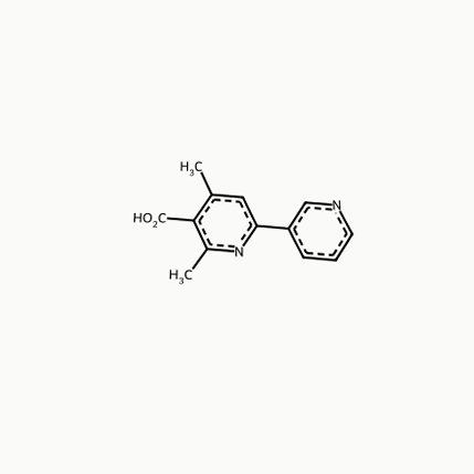 Cc1cc(-c2cccnc2)nc(C)c1C(=O)O